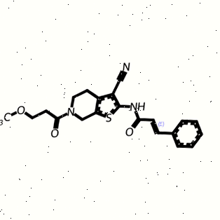 COCCC(=O)N1CCc2c(sc(NC(=O)/C=C/c3ccccc3)c2C#N)C1